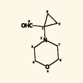 O=CC1(N2CCOCC2)CC1